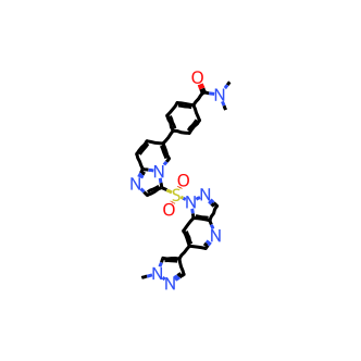 CN(C)C(=O)c1ccc(-c2ccc3ncc(S(=O)(=O)n4ncc5ncc(-c6cnn(C)c6)cc54)n3c2)cc1